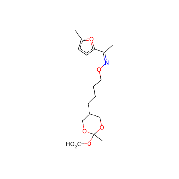 CC(=NOCCCCC1COC(C)(OC(=O)O)OC1)c1ccc(C)o1